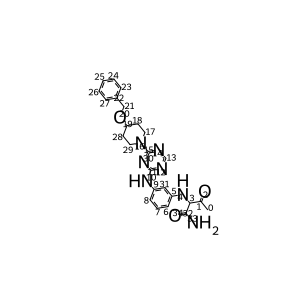 CC(=O)C(Nc1cccc(Nc2ncnc(N3CCC(OCc4ccccc4)CC3)n2)c1)C(N)=O